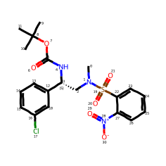 CN(C[C@@H](NC(=O)OC(C)(C)C)c1cccc(Cl)c1)S(=O)(=O)c1ccccc1[N+](=O)[O-]